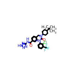 CC(C)(C)C1CCC(N(Cc2ccc(C(=O)Nc3nn[nH]n3)cc2)C(=O)Nc2cccc(C(F)(F)F)c2Cl)CC1